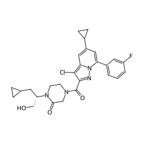 O=C(c1nn2c(-c3cccc(F)c3)cc(C3CC3)cc2c1Cl)N1CCN([C@H](CO)CC2CC2)C(=O)C1